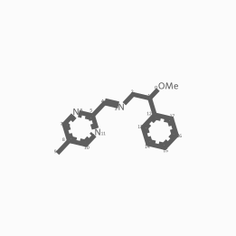 COC(CN=Cc1ncc(C)cn1)c1ccccc1